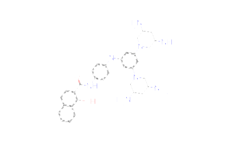 NC1CC(N)CN(c2cc(Nc3ccc(NC(=O)c4ccc5ccccc5c4O)cc3)cc(N3CC(N)CC(N)C3)c2)C1